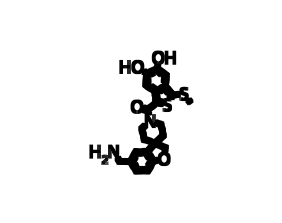 CSc1sc(C(=O)N2CCC3(CC2)COc2ccc(CN)cc23)c2cc(O)c(O)cc12